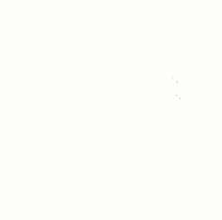 C=CC(=O)Oc1ccccc1/C(=C(/CCCl)c1ccccc1)c1ccc2[nH]ncc2c1F